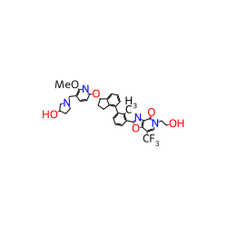 COc1nc(O[C@H]2CCc3c(-c4cccc(-c5nc6c(=O)n(CCO)cc(C(F)(F)F)c6o5)c4C)cccc32)ccc1CN1CC[C@@H](O)C1